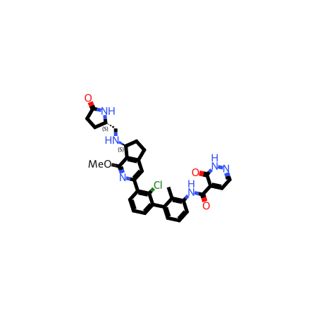 COc1nc(-c2cccc(-c3cccc(NC(=O)c4ccn[nH]c4=O)c3C)c2Cl)cc2c1[C@@H](NC[C@@H]1CCC(=O)N1)CC2